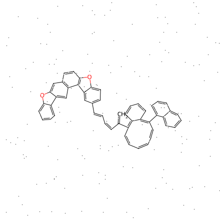 C=C(/C=C\C=C\c1ccc2oc3ccc4cc5oc6ccccc6c5cc4c3c2c1)c1ccccccc(-c2cccc3ccccc23)c2ccccc12